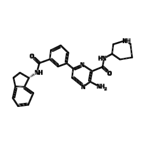 Nc1ncc(-c2cccc(C(=O)N[C@H]3CCc4ccccc43)c2)nc1C(=O)NC1CCCNC1